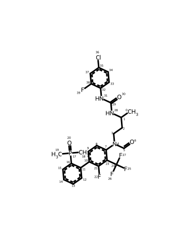 CC(CCN(C=O)c1ccc(-c2ccccc2P(C)(C)=O)c(F)c1C(F)(F)F)NC(=O)Nc1ccc(Cl)cc1F